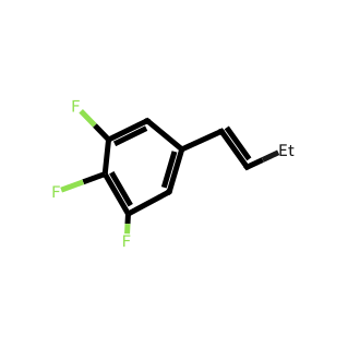 CC/C=C/c1cc(F)c(F)c(F)c1